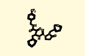 O=C(NCc1ccc(C(F)(F)F)cc1)C(=O)C(Cc1ccccc1)NC(=O)[C@H]1CCC(=O)N1Cc1ccccc1